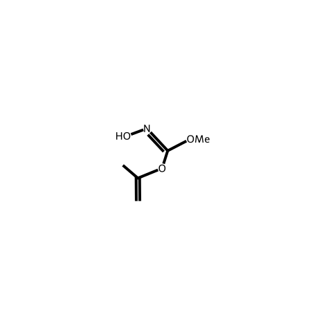 C=C(C)OC(=NO)OC